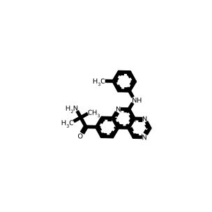 Cc1cccc(Nc2nc3cc(C(=O)C(C)(C)N)ccc3c3cncnc23)c1